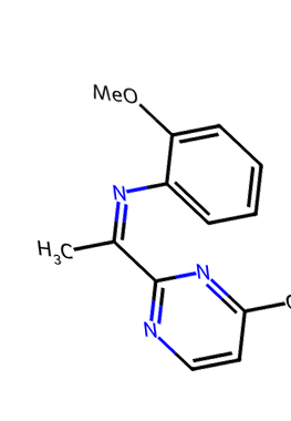 COc1ccccc1N=C(C)c1nccc(C)n1